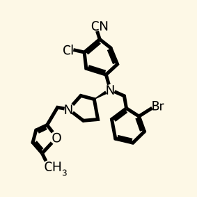 Cc1ccc(CN2CC[C@H](N(Cc3ccccc3Br)c3ccc(C#N)c(Cl)c3)C2)o1